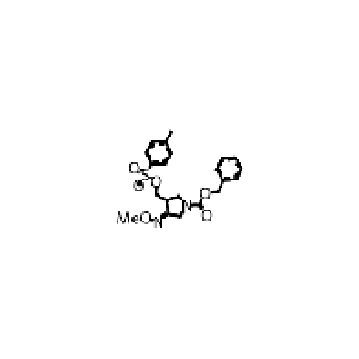 CON=C1CN(C(=O)OCc2ccccc2)CC1COS(=O)(=O)c1ccc(C)cc1